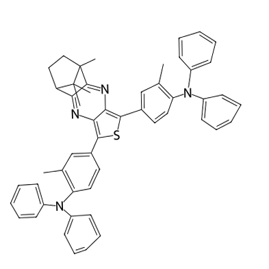 Cc1cc(-c2sc(-c3ccc(N(c4ccccc4)c4ccccc4)c(C)c3)c3nc4c(nc23)C2CCC4(C)C2(C)C)ccc1N(c1ccccc1)c1ccccc1